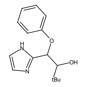 CC(C)(C)C(O)C(Oc1ccccc1)c1ncc[nH]1